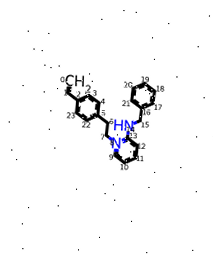 C=Cc1ccc(CC[n+]2ccccc2NCc2ccccc2)cc1